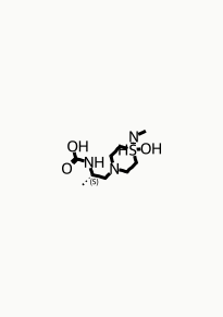 CN=[SH]1(O)CCN(C[C@H](C)NC(=O)O)CC1